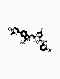 CC(=O)c1nn(CC(=O)N2C[C@H](F)C[C@H]2C(=O)Nc2cccc(Br)n2)c2ccc(-c3cc[n+]([O-])c(C)n3)cc12